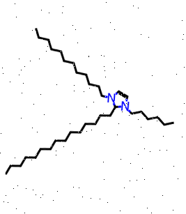 CCCCCCCCCCCCCCCC1N(CCCCCC)C=CN1CCCCCCCCCCCC